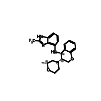 C[C@@H]1CN([C@H]2COc3ccccc3[C@@H]2Nc2cccc3[nH]c(C(F)(F)F)nc23)CCO1